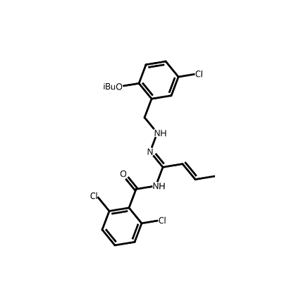 C/C=C/C(=N\NCc1cc(Cl)ccc1OCC(C)C)NC(=O)c1c(Cl)cccc1Cl